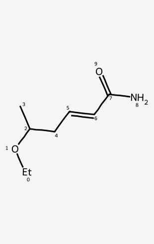 CCOC(C)CC=CC(N)=O